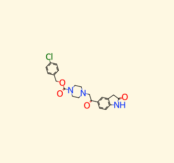 O=C1Cc2cc(C(=O)CN3CCN(C(=O)OCc4ccc(Cl)cc4)CC3)ccc2N1